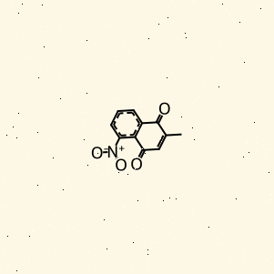 CC1=CC(=O)c2c(cccc2[N+](=O)[O-])C1=O